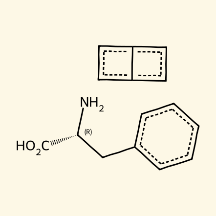 N[C@H](Cc1ccccc1)C(=O)O.c1cc2ccc1-2